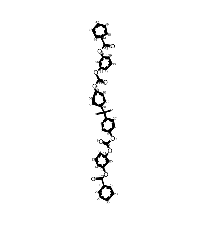 CC(C)(c1ccc(OC(=O)Oc2cccc(OC(=O)c3ccccc3)c2)cc1)c1ccc(OC(=O)Oc2cccc(OC(=O)c3ccccc3)c2)cc1